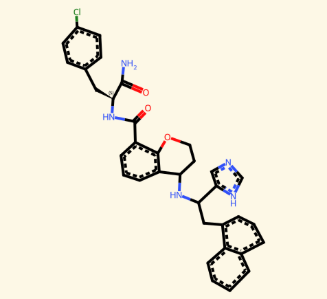 NC(=O)[C@H](Cc1ccc(Cl)cc1)NC(=O)c1cccc2c1OCCC2NC(Cc1cccc2ccccc12)c1cnc[nH]1